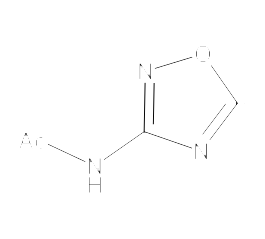 CC(=O)Nc1n[c]on1